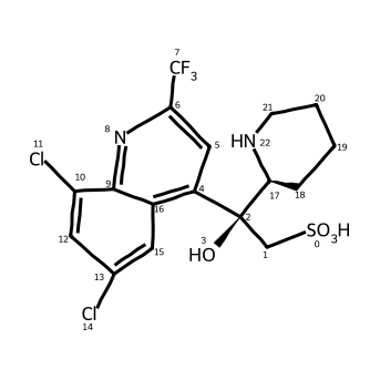 O=S(=O)(O)C[C@](O)(c1cc(C(F)(F)F)nc2c(Cl)cc(Cl)cc12)[C@@H]1CCCCN1